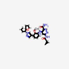 COc1c(Nc2cc(NC(=O)C3CC3)nnc2C(N)=O)cccc1-c1cnn([C@H]2CCC[C@@]23CCCO3)c1